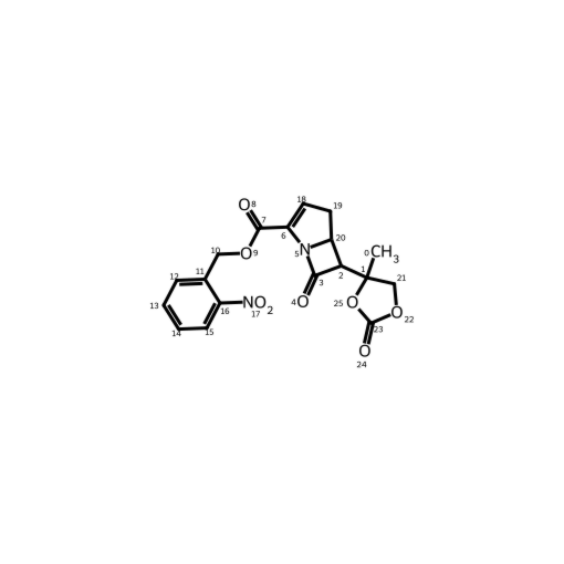 CC1(C2C(=O)N3C(C(=O)OCc4ccccc4[N+](=O)[O-])=CCC23)COC(=O)O1